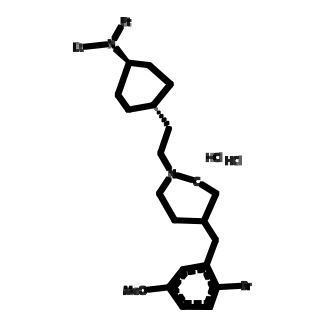 CCN(CC)[C@H]1CC[C@H](CCN2CCC(Cc3cc(OC)ccc3Br)CC2)CC1.Cl.Cl